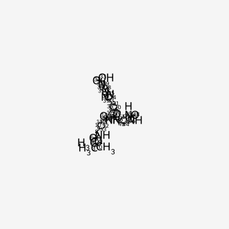 CC(C)(C)OC(=O)NC[C@H]1CC[C@H](C(=O)N[C@@H](Cc2cccc(-c3cnc(N4CCN(C(=O)O)CC4)nc3)c2)C(=O)Nc2ccc3[nH]c(=O)[nH]c3c2)CC1